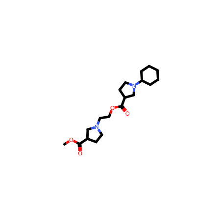 COC(=O)C1CCN(CCOC(=O)C2CCN(C3CCCCC3)C2)C1